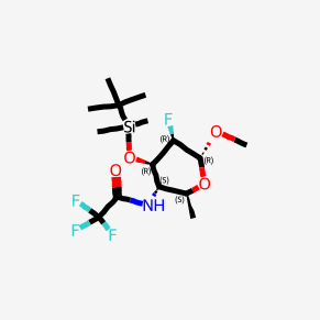 CO[C@@H]1O[C@@H](C)[C@H](NC(=O)C(F)(F)F)[C@@H](O[Si](C)(C)C(C)(C)C)[C@H]1F